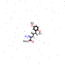 CCOc1ccc(OCC)c(C(C)C(C)CC(N)C(=O)OC)c1